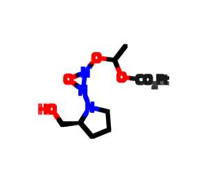 CCOC(=O)OC(C)On1on1N1CCC[C@H]1CO